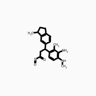 CNc1ccc(C(CC(=O)N=O)c2ccc3c(c2)C(C)CC3)c(C)c1N